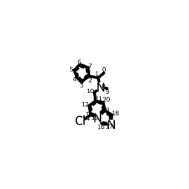 CC(c1ccccc1)N(C)Cc1cc(Cl)n2cncc2c1